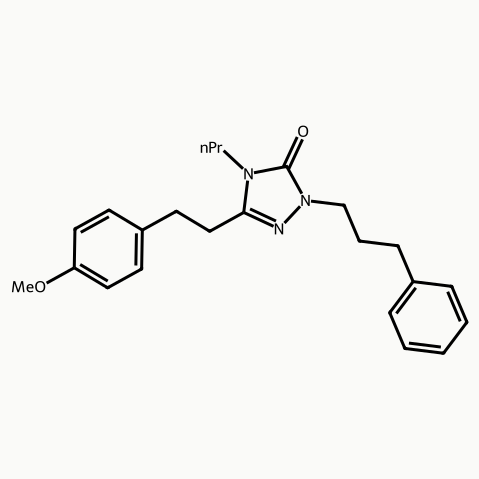 CCCn1c(CCc2ccc(OC)cc2)nn(CCCc2ccccc2)c1=O